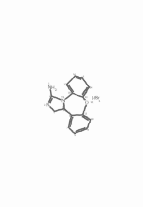 Br.NC1=NCC2c3ccccc3Oc3ccccc3N12